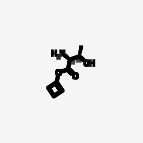 C[C@@H](O)[C@H](N)C(=O)OC1=CCC1